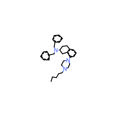 CCCCCN1CCN(c2cccc3c2C[C@H](N(Cc2ccccc2)Cc2ccccc2)CC3)CC1